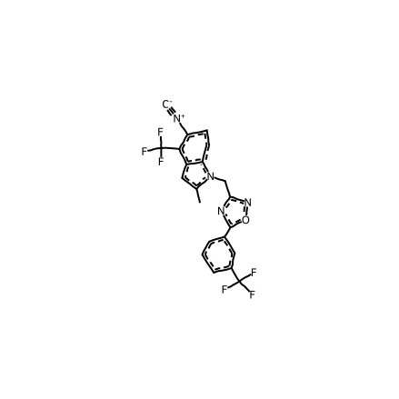 [C-]#[N+]c1ccc2c(cc(C)n2Cc2noc(-c3cccc(C(F)(F)F)c3)n2)c1C(F)(F)F